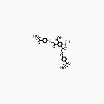 CC(C)(O)C(=O)c1ccc(OCCC(=O)c2cc(C(=O)CCOc3ccc(C(=O)C(C)(C)O)cc3)c(C(=O)O)cc2C(=O)O)cc1